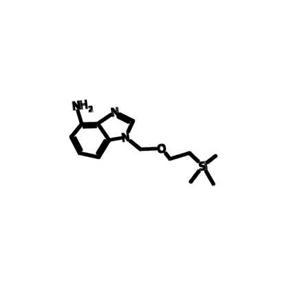 C[Si](C)(C)CCOCn1cnc2c(N)cccc21